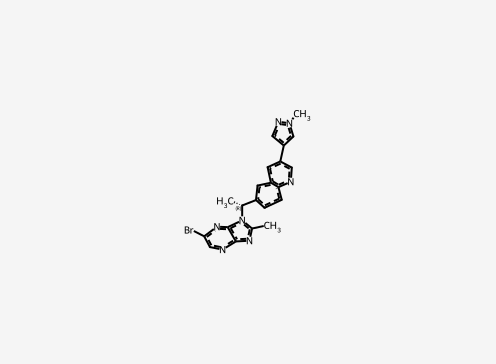 Cc1nc2ncc(Br)nc2n1[C@H](C)c1ccc2ncc(-c3cnn(C)c3)cc2c1